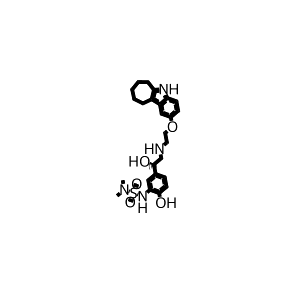 CN(C)S(=O)(=O)Nc1cc([C@@H](O)CNCCOc2ccc3[nH]c4c(c3c2)CCCCC4)ccc1O